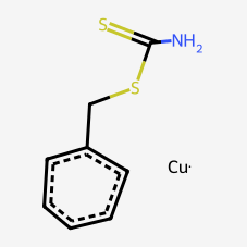 NC(=S)SCc1ccccc1.[Cu]